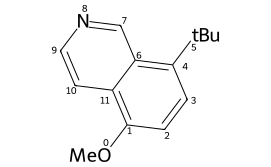 COc1ccc(C(C)(C)C)c2cnccc12